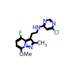 COc1ccc(F)c2c(CCNc3cc(Cl)ncn3)c(C)nn12